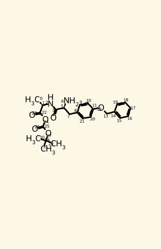 C[C@@H](NC(=O)[C@@H](N)Cc1ccc(OCc2ccccc2)cc1)C(=O)OC(=O)OC(C)(C)C